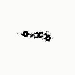 O=C(Nc1ccc(C(F)(F)F)cc1)N1CCC2(CC1)CCN(C(=O)c1c(F)cccc1F)CC2